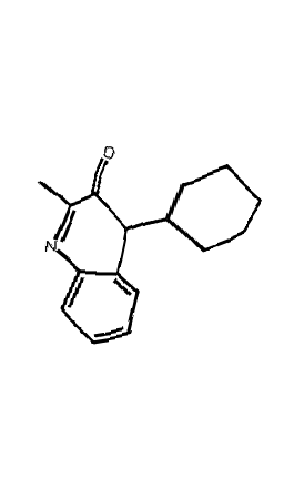 CC1=Nc2ccccc2C(C2CCCCC2)C1=O